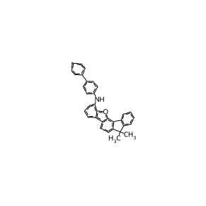 CC1(C)c2ccccc2-c2c1ccc1c2oc2c(Nc3ccc(-c4ccccc4)cc3)cccc21